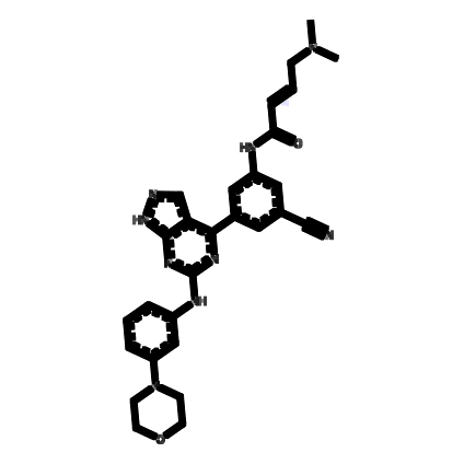 CN(C)C/C=C/C(=O)Nc1cc(C#N)cc(-c2nc(Nc3cccc(N4CCOCC4)c3)nc3[nH]ncc23)c1